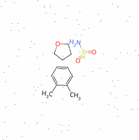 C1CCOC1.Cc1ccccc1C.N[SH](=O)=O